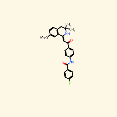 COc1ccc2c(c1)C(=CC(=O)c1ccc(NC(=O)c3ccc(F)cc3)cc1)NC(C)(C)C2